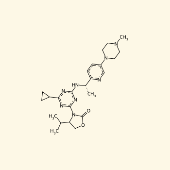 CC(C)C1COC(=O)N1c1nc(N[C@@H](C)c2ccc(N3CCN(C)CC3)cn2)nc(C2CC2)n1